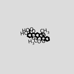 CC(=O)c1cc2c(=O)c3c(C(=O)O)c(O)ccc3oc2c(C(C)=O)c1-c1coc2ccccc2c1=O